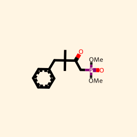 COP(=O)(CC(=O)C(C)(C)Cc1ccccc1)OC